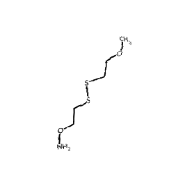 COCCSSCCON